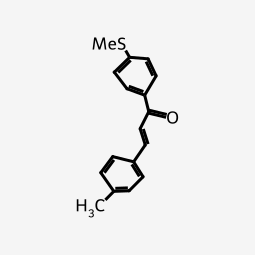 CSc1ccc(C(=O)C=Cc2ccc(C)cc2)cc1